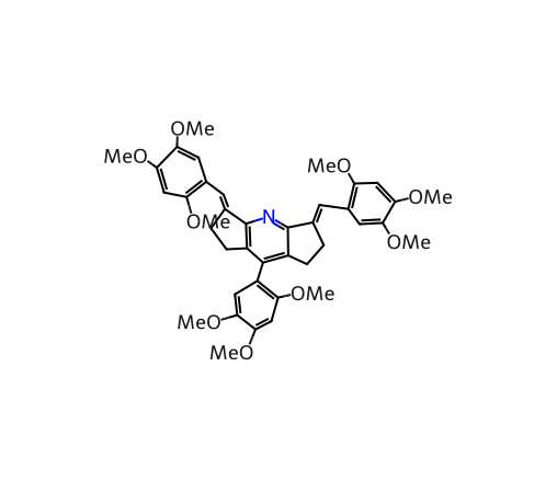 COc1cc(OC)c(OC)cc1C=C1CCc2c1nc1c(c2-c2cc(OC)c(OC)cc2OC)CCC1=Cc1cc(OC)c(OC)cc1OC